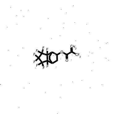 C=C(C(=O)OC1CC2CCC1C1(F)C(F)(F)C(F)(F)C(F)(F)C21F)C(F)(F)F